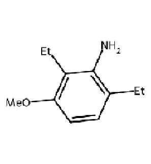 CCc1ccc(OC)c(CC)c1N